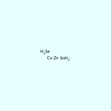 [Cu].[SeH2].[SnH2].[Zn]